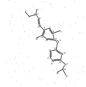 CCN(C)C=Nc1cc(C)c(Oc2ccnc(SC(C)C)n2)cc1C